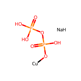 O=P(O)(O)OP(=O)(O)[O][Cu].[NaH]